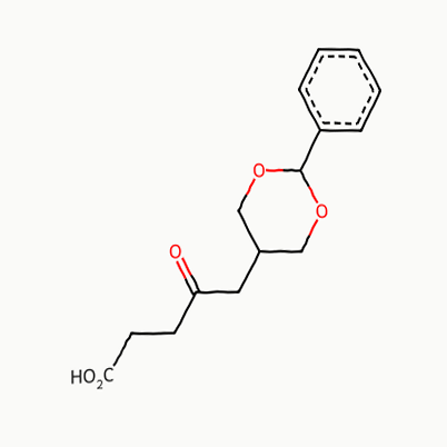 O=C(O)CCC(=O)CC1COC(c2ccccc2)OC1